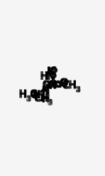 COc1ccc2c(c1)c(-c1cc3cccnc3[nH]1)cn2CC(=O)NCCCN(C)C